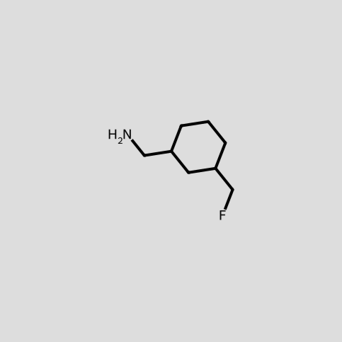 NCC1CCCC(CF)C1